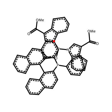 COC(=O)c1cn(P(Oc2ccc3ccccc3c2-c2c(P(c3ccccc3)c3ccccc3)ccc3ccccc23)n2cc(C(=O)OC)c3ccccc32)c2ccccc12